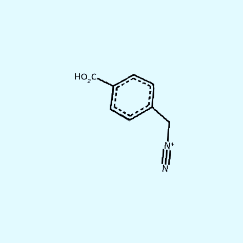 N#[N+]Cc1ccc(C(=O)O)cc1